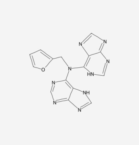 c1coc(CN(c2[nH]cnc3ncnc2-3)c2ncnc3nc[nH]c23)c1